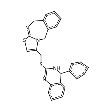 C1=C(CSC2=Nc3ccccc3C(c3ccccc3)N2)N2Cc3ccccc3CN=C2S1